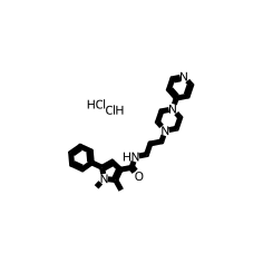 Cc1c(C(=O)NCCCN2CCN(c3ccncc3)CC2)cc(-c2ccccc2)n1C.Cl.Cl